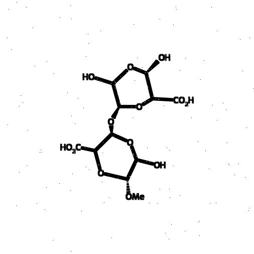 CO[C@@H]1OC(C(=O)O)[C@@H](O[C@@H]2OC(C(=O)O)[C@H](O)OC2O)OC1O